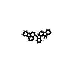 CC1(C)c2ccccc2-c2ccc3c(c21)c1ccccc1n3-c1ccc2c3c(cccc13)-c1ccccc1-2